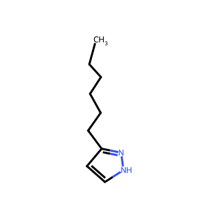 CCCCCCc1cc[nH]n1